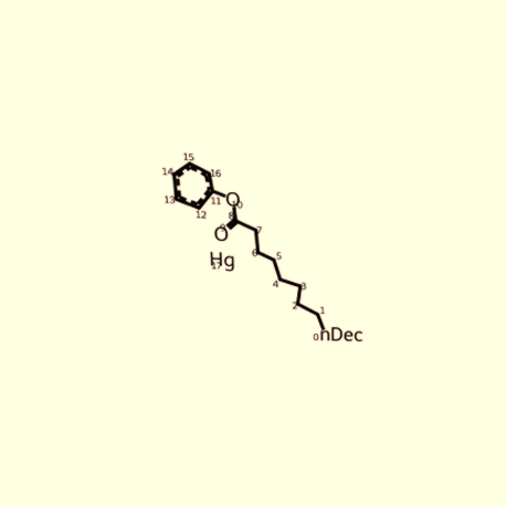 CCCCCCCCCCCCCCCCCC(=O)Oc1ccccc1.[Hg]